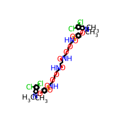 CN(C)[C@H]1Cc2c(Cl)cc(Cl)cc2[C@@H]1Oc1ccc(S(=O)(=O)NCCOCCOCCNC(=O)CCC(=O)NCCOCCOCCNS(=O)(=O)c2ccc(O[C@H]3c4cc(Cl)cc(Cl)c4C[C@@H]3N(C)C)cc2)cc1